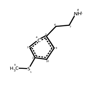 CSc1ccc(CC[NH])cc1